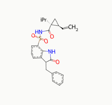 C=C[C@@H]1C[C@@]1(C(=O)NS(=O)(=O)c1cccc2c1NC(=O)C2Cc1ccccc1)C(C)C